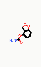 NC(=O)Oc1cccc2c1COO2